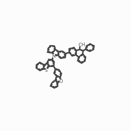 CC1c2ccc(-c3ccc4c(c3)c3ccccc3n4-c3cc(-c4ccc5oc6ccccc6c5c4)c4sc5ccccc5c4c3)cc2-c2ccccc2C1c1ccccc1